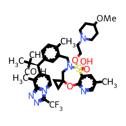 COC1CCN(CCOS2(=O)(O)c3cc(C)cnc3OC3(CC3)CN2Cc2cc([C@@H](c3ccn4c(C(F)(F)F)nnc4c3C)C(C)(C)C(=O)O)ccc2C)CC1